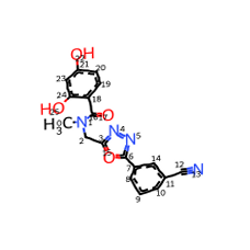 CN(Cc1nnc(-c2cccc(C#N)c2)o1)C(=O)c1ccc(O)cc1O